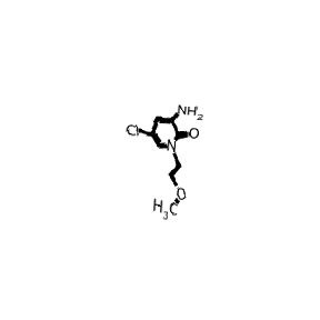 COCCn1cc(Cl)cc(N)c1=O